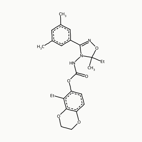 CCc1c(OC(=O)NN2C(c3cc(C)cc(C)c3)=NOC2(C)CC)ccc2c1OCCO2